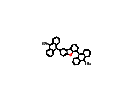 CCCCc1c2ccccc2c(-c2ccc3oc4c(-c5c6ccccc6c(CCCC)c6ccccc56)cccc4c3c2)c2ccccc12